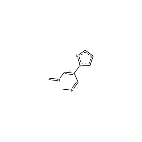 C=N/C=C(\C=N/C)n1cccn1